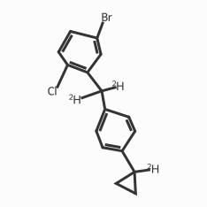 [2H]C1(c2ccc(C([2H])([2H])c3cc(Br)ccc3Cl)cc2)CC1